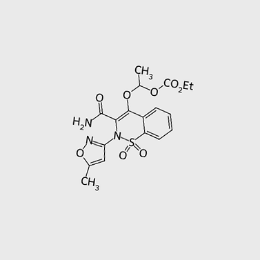 CCOC(=O)OC(C)OC1=C(C(N)=O)N(c2cc(C)on2)S(=O)(=O)c2ccccc21